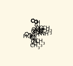 COC(=O)C(CC(C)C)CP(=O)(O)C(CC1CCCCC1)NC(=O)[C@H](Cc1c[nH]cn1)NC(=O)C(Cc1cccc2ccccc12)NC(=O)OC(C)(C)C